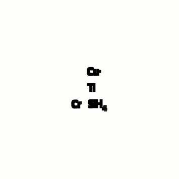 [Cr].[Cu].[SiH4].[Ti]